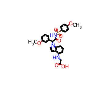 COc1ccc(S(=O)(=O)NC(=O)C(c2cccc(OC)c2)n2ccc3c(NCC(=O)O)cccc32)cc1